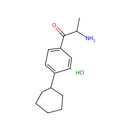 CC(N)C(=O)c1ccc(C2CCCCC2)cc1.Cl